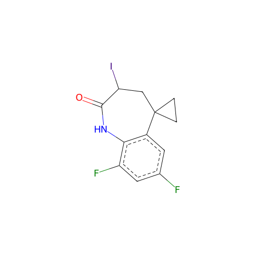 O=C1Nc2c(F)cc(F)cc2C2(CC2)CC1I